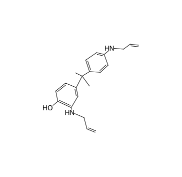 C=CCNc1ccc(C(C)(C)c2ccc(O)c(NCC=C)c2)cc1